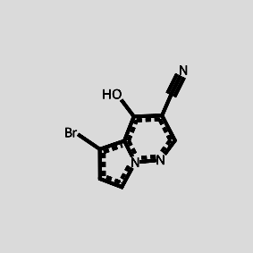 N#Cc1cnn2ccc(Br)c2c1O